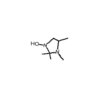 CC1CN(O)C(C)(C)N1C